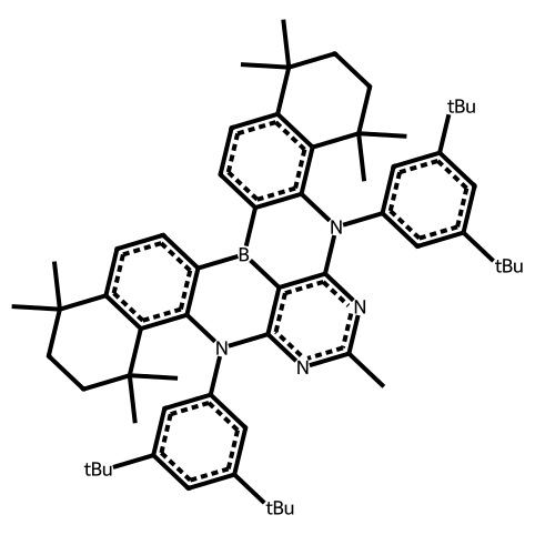 Cc1nc2c3c(n1)N(c1cc(C(C)(C)C)cc(C(C)(C)C)c1)c1c(ccc4c1C(C)(C)CCC4(C)C)B3c1ccc3c(c1N2c1cc(C(C)(C)C)cc(C(C)(C)C)c1)C(C)(C)CCC3(C)C